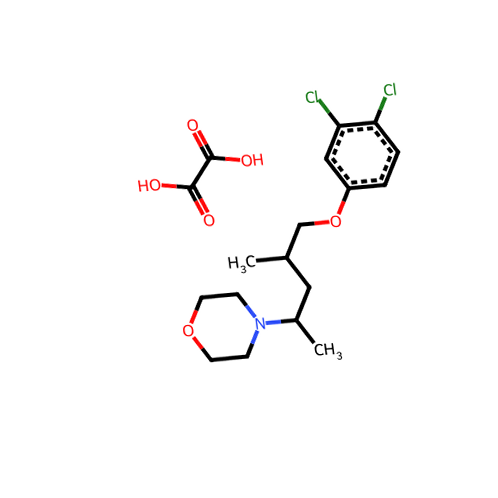 CC(COc1ccc(Cl)c(Cl)c1)CC(C)N1CCOCC1.O=C(O)C(=O)O